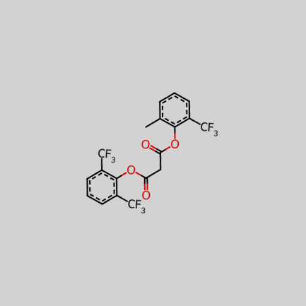 Cc1cccc(C(F)(F)F)c1OC(=O)CC(=O)Oc1c(C(F)(F)F)cccc1C(F)(F)F